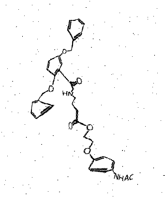 CC(=O)Nc1ccc(OCCOC(=O)CCCNC(=O)c2cc(OCc3ccccc3)ccc2OCc2ccccc2)cc1